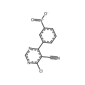 N#Cc1c(Cl)ncnc1-c1cccc([N+](=O)[O-])c1